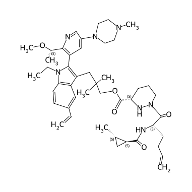 C=CCC[C@H](NC(=O)[C@H]1C[C@@H]1C)C(=O)N1CCC[C@@H](C(=O)OCC(C)(C)Cc2c(-c3cc(N4CCN(C)CC4)cnc3[C@H](C)OC)n(CC)c3ccc(C=C)cc23)N1